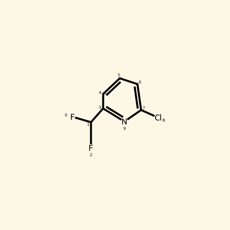 FC(F)c1[c]ccc(Cl)n1